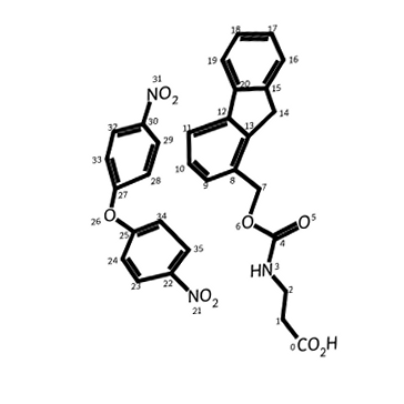 O=C(O)CCNC(=O)OCc1cccc2c1Cc1ccccc1-2.O=[N+]([O-])c1ccc(Oc2ccc([N+](=O)[O-])cc2)cc1